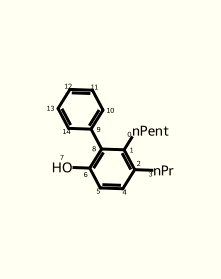 CCCCCc1c(CCC)ccc(O)c1-c1ccccc1